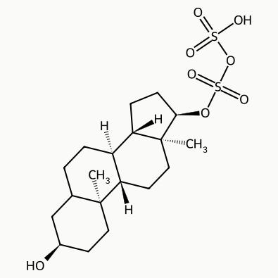 C[C@]12CC[C@H]3[C@@H](CCC4C[C@H](O)CC[C@@]43C)[C@@H]1CC[C@H]2OS(=O)(=O)OS(=O)(=O)O